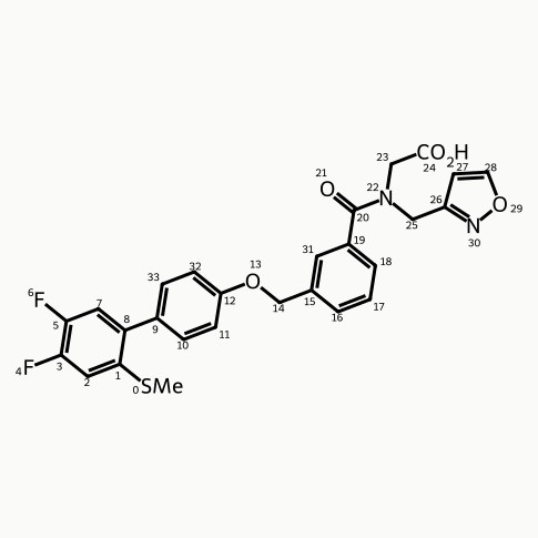 CSc1cc(F)c(F)cc1-c1ccc(OCc2cccc(C(=O)N(CC(=O)O)Cc3ccon3)c2)cc1